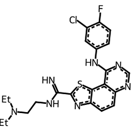 CCN(CC)CCNC(=N)c1nc2ccc3ncnc(Nc4ccc(F)c(Cl)c4)c3c2s1